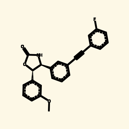 COc1cccc([C@@H]2OC(=O)N[C@H]2c2cccc(C#Cc3cccc(F)c3)c2)c1